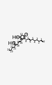 C=CCCCCC=CC[C@H]1C(=O)CC(O)[C@@H]1C=CCC(O)CCCC